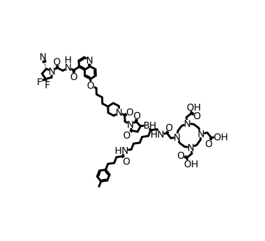 Cc1ccc(CCCC(=O)NCCCCCC(BC2CC(=O)N(CC(=O)N3CCC(CCCCOc4ccc5nccc(C(=O)NCC(=O)N6CC(F)(F)C[C@@H]6C#N)c5c4)CC3)C2=O)CNC(=O)CN2CCN(CC(=O)O)CCN(CC(=O)O)CCN(CC(=O)O)CC2)cc1